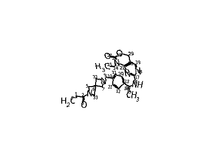 C=CC(=O)N1CC2(CN(Cc3ccc([C@H](C)Nc4ncc5c(n4)N(CC)C(=O)OC5)cc3)C2)C1